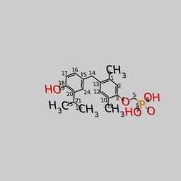 Cc1cc(OCP(=O)(O)O)c(C)cc1Cc1ccc(O)c(C(C)C)c1